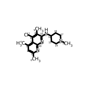 Cc1cc(C)c2c(Cl)c(C)c(NC3CCN(C)CC3)nc2n1